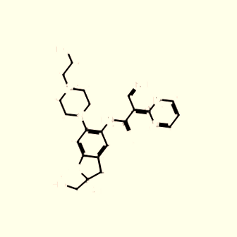 C[C@@]1(CO)Cc2cc(NC(=O)/C(C=N)=C3\N=CC=CN3)c(N3CCN(CCO)CC3)cc2O1